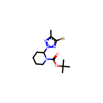 Cc1nn(C2CCCCN2C(=O)OC(C)(C)C)nc1Br